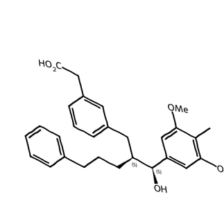 COc1cc([C@@H](O)[C@@H](CCCc2ccccc2)Cc2cccc(CC(=O)O)c2)cc(OC)c1C